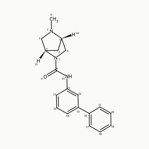 CN1C[C@@H]2C[C@H]1CN2C(=O)Nc1cccc(-c2ccccc2)c1